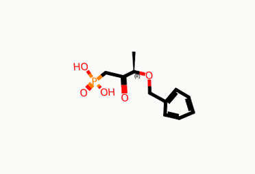 C[C@@H](OCc1ccccc1)C(=O)CP(=O)(O)O